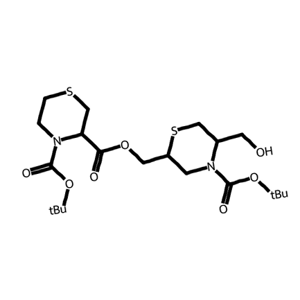 CC(C)(C)OC(=O)N1CC(COC(=O)C2CSCCN2C(=O)OC(C)(C)C)SCC1CO